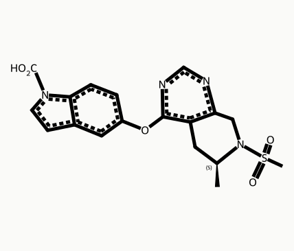 C[C@H]1Cc2c(ncnc2Oc2ccc3c(ccn3C(=O)O)c2)CN1S(C)(=O)=O